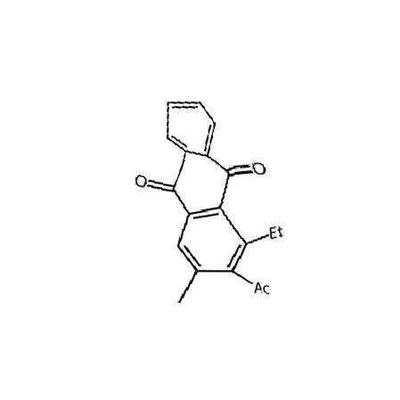 CCc1c(C(C)=O)c(C)cc2c1C(=O)c1ccccc1C2=O